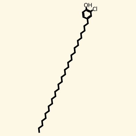 CCCCCCCCCCCCCCCCCCCCCCCCCCCCCCCc1ccc(O)c(Cl)c1